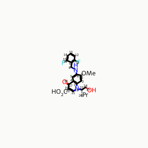 COc1cc2c(cc1NCc1c(F)cccc1F)c(=O)c(C(=O)O)cn2[C@H](CO)C(C)C